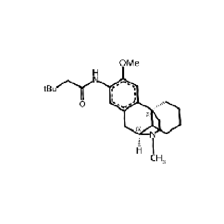 COc1cc2c(cc1NC(=O)CC(C)(C)C)C[C@H]1C3CCCC[C@@]23CCN1C